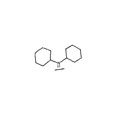 C1CCC(NC2CCCCC2)CC1.CC